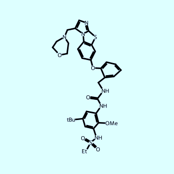 CCS(=O)(=O)Nc1cc(C(C)(C)C)cc(NC(=O)NCc2ccccc2Oc2ccc3c(c2)sc2ncc(CN4CCOCC4)n23)c1OC